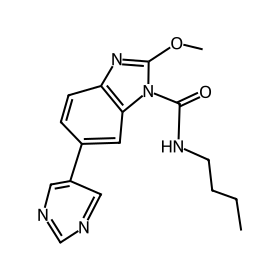 CCCCNC(=O)n1c(OC)nc2ccc(-c3cncnc3)cc21